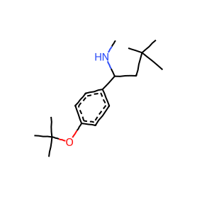 CNC(CC(C)(C)C)c1ccc(OC(C)(C)C)cc1